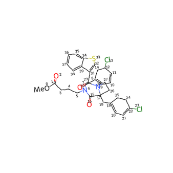 COC(=O)CCCN(CC1=CC=CC(Cl)C1)C(=O)C1(CC2=CC=C(Cl)CC2)CCN1C(=O)c1csc2ccccc12